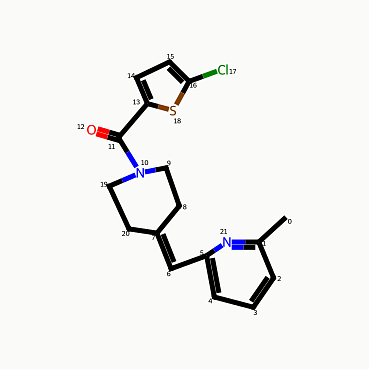 Cc1cccc(C=C2CCN(C(=O)c3ccc(Cl)s3)CC2)n1